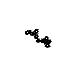 CC1(C)c2ccccc2-c2ccc(N(c3ccccc3)c3ccc(-c4cccc(-c5ccc6c(c5)-c5sc7ccccc7c5C6(c5ccccc5)c5ccccc5)c4)cc3)cc21